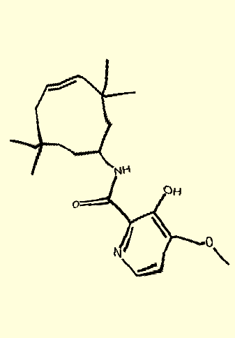 COc1ccnc(C(=O)NC2CC(C)(C)/C=C\CC(C)(C)C2)c1O